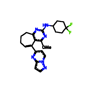 COc1nc(NC2CCC(F)(F)CC2)nc2c1C(c1ccn3nccc3n1)=CCCC2